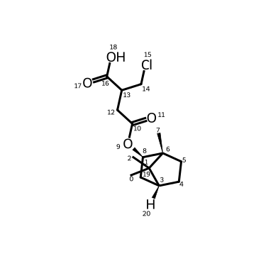 CC1(C)[C@@H]2CC[C@@]1(C)[C@H](OC(=O)CC(CCl)C(=O)O)C2